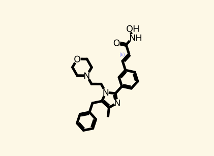 Cc1nc(-c2cccc(/C=C/C(=O)NO)c2)n(CCN2CCOCC2)c1Cc1ccccc1